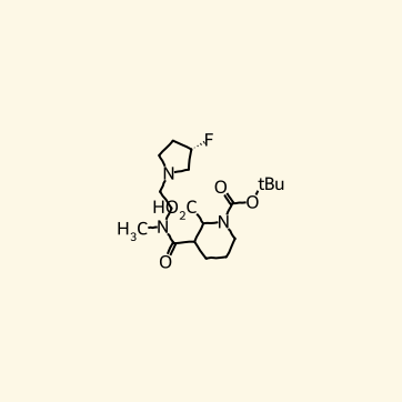 CN(CCN1CC[C@H](F)C1)C(=O)C1CCCN(C(=O)OC(C)(C)C)C1C(=O)O